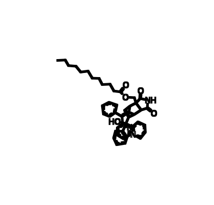 CCCCCCCCCCCC(=O)OCC12C(=O)NC(=O)C1C1C(C(O)(c3ccccc3)c3ccccn3)=CC2C1=C(c1ccccc1)c1ccccn1